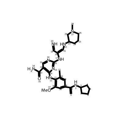 C=C(NC1CCCC1)c1cc(C)c(Nc2nc(N/C(C=N)=C/NC3CCCN(C)C3)ncc2C(N)=O)c(OC)c1